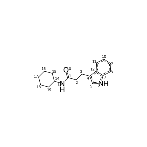 O=C(CCc1c[nH]c2ccccc12)NC1CCCCC1